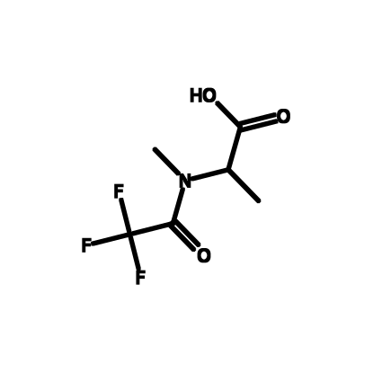 CC(C(=O)O)N(C)C(=O)C(F)(F)F